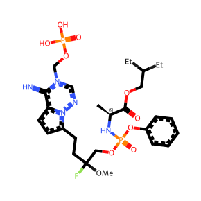 CCC(CC)COC(=O)[C@H](C)NP(=O)(OCC(F)(CCc1ccc2c(=N)n(COP(=O)(O)O)cnn12)OC)Oc1ccccc1